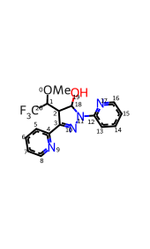 COC(C1C(c2ccccn2)=NN(c2ccccn2)C1O)C(F)(F)F